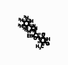 [2H]c1c([2H])c([2H])c(-c2nnn(C3C[C@H](n4cc(C)c(=O)[nH]c4=O)O[C@@H]3CC)c2[2H])c([2H])c1[2H]